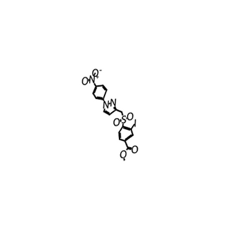 COC(=O)c1ccc(S(=O)(=O)Cc2ccn(-c3ccc([N+](=O)[O-])cc3)n2)c(I)c1